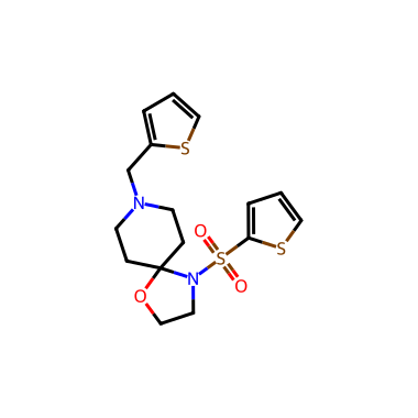 O=S(=O)(c1cccs1)N1CCOC12CCN(Cc1cccs1)CC2